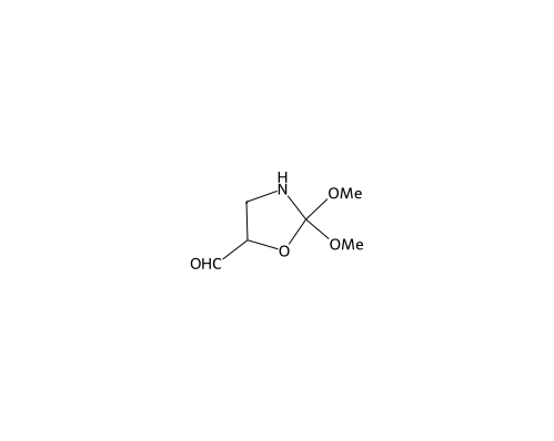 COC1(OC)NCC(C=O)O1